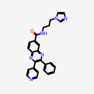 O=C(NCCCn1ccnc1)c1ccc2nc(-c3ccncc3)c(-c3ccccc3)nc2c1